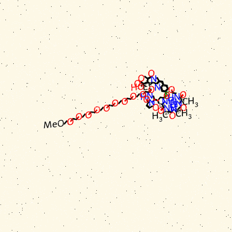 CC[C@@]1(O)C(=O)OCc2c1cc1n(c2=O)Cc2cc3cc(OCCNC(=O)[C@H](C)NC(=O)[C@H](C)NC(=O)[C@H](C)NC(=O)[C@H](CCCCNC(=O)COCCOCCOCCOCCOCCOCCOCCOCCOCCOC)NC(=O)CCCN4C(=O)C=CC4=O)c(F)cc3nc2-1